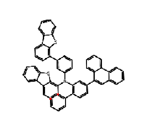 c1ccc(-c2ccc(-c3cc4ccccc4c4ccccc34)cc2N(c2cccc(-c3cccc4c3sc3ccccc34)c2)c2cccc3c2sc2ccccc23)cc1